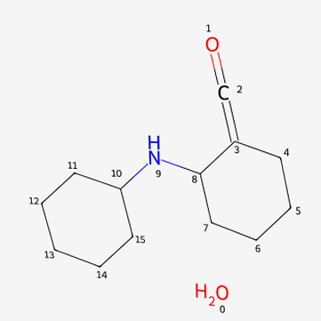 O.O=C=C1CCCCC1NC1CCCCC1